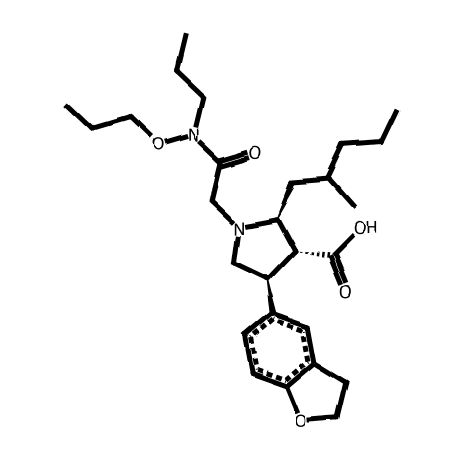 CCCON(CCC)C(=O)CN1C[C@H](c2ccc3c(c2)CCO3)[C@@H](C(=O)O)[C@@H]1CC(C)CCC